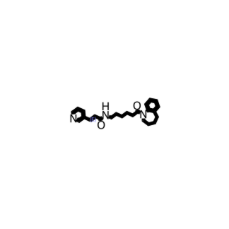 O=C(/C=C/c1cccnc1)NCCCCCC(=O)N1CCCCc2ccccc21